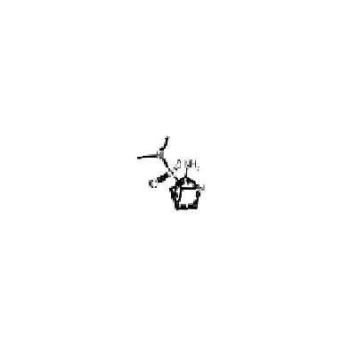 CN(C)S(=O)(=O)C1c2cc(N)n1c2